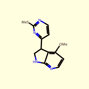 COc1ccnc2c1C(c1ccnc(SC)n1)CN2